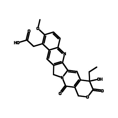 CCC1(O)C(=O)OCc2c1cc1n(c2=O)Cc2cc3c(CC(=O)O)c(OC)ccc3nc2-1